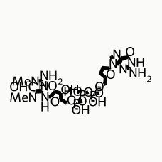 CN/C(N)=N\C(NC1OC(COP(O)OP(O)OP(O)OOCC2CCC(n3cnc4c(=O)[nH]c(N)nc43)O2)C(O)C1O)=C(/C=O)NC